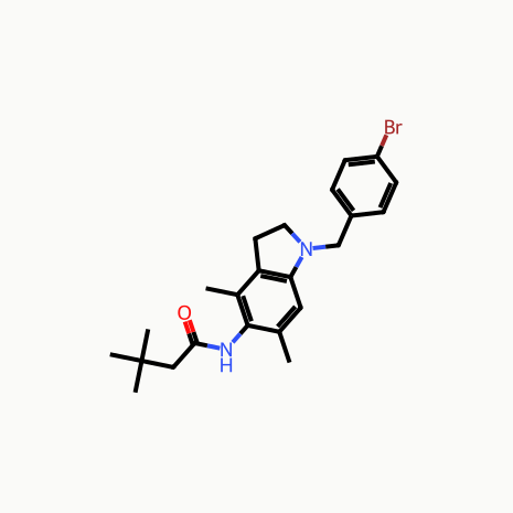 Cc1cc2c(c(C)c1NC(=O)CC(C)(C)C)CCN2Cc1ccc(Br)cc1